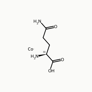 NC(=O)CC[C@H](N)C(=O)O.[Co]